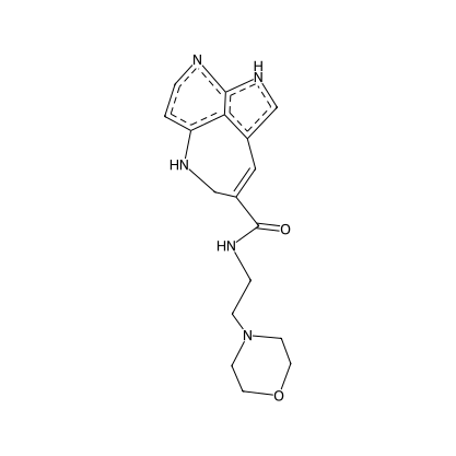 O=C(NCCN1CCOCC1)C1=Cc2c[nH]c3nccc(c23)NC1